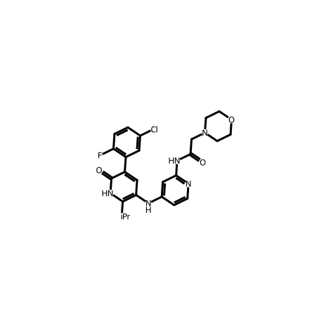 CC(C)c1[nH]c(=O)c(-c2cc(Cl)ccc2F)cc1Nc1ccnc(NC(=O)CN2CCOCC2)c1